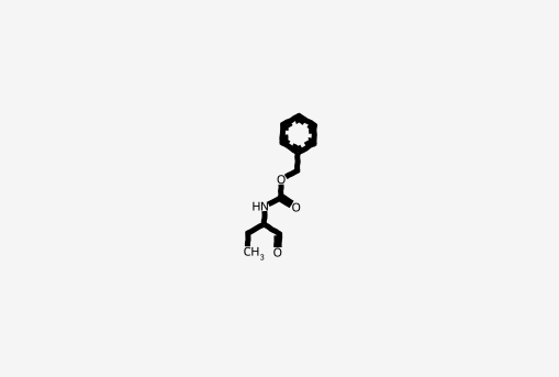 CCC(C=O)NC(=O)OCc1ccccc1